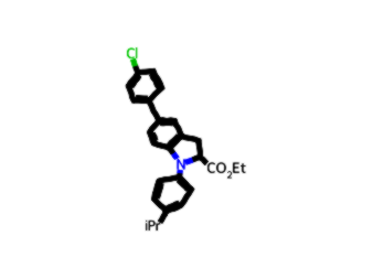 CCOC(=O)C1Cc2cc(-c3ccc(Cl)cc3)ccc2N1c1ccc(C(C)C)cc1